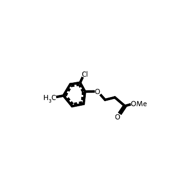 COC(=O)CCOc1ccc(C)cc1Cl